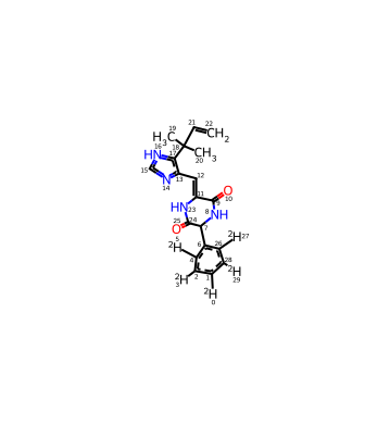 [2H]c1c([2H])c([2H])c(C2NC(=O)/C(=C/c3nc[nH]c3C(C)(C)C=C)NC2=O)c([2H])c1[2H]